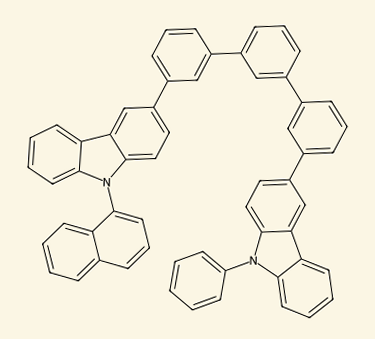 c1ccc(-n2c3ccccc3c3cc(-c4cccc(-c5cccc(-c6cccc(-c7ccc8c(c7)c7ccccc7n8-c7cccc8ccccc78)c6)c5)c4)ccc32)cc1